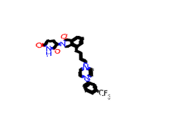 O=C1CCC(N2Cc3c(CCCCN4CCN(c5cccc(C(F)(F)F)c5)CC4)cccc3C2=O)C(=O)N1